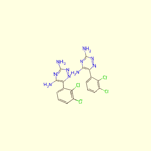 Nc1nnc(-c2cccc(Cl)c2Cl)c(N)n1.Nc1nnc(-c2cccc(Cl)c2Cl)c(N)n1